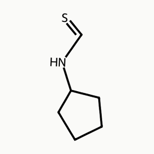 S=CNC1CCCC1